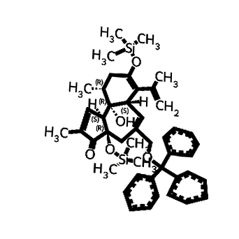 C=C(C)C1=C(O[Si](C)(C)C)C[C@@H](C)[C@@]2(O)[C@H]1C=C(COC(c1ccccc1)(c1ccccc1)c1ccccc1)C[C@]1(O[Si](C)(C)C)C(=O)C(C)=C[C@@H]21